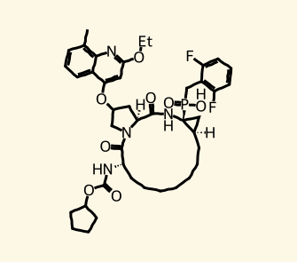 CCOc1cc(OC2C[C@H]3C(=O)N[C@]4(P(=O)(O)Cc5c(F)cccc5F)C[C@H]4CCCCCCC[C@H](NC(=O)OC4CCCC4)C(=O)N3C2)c2cccc(C)c2n1